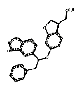 O=C(O)CC1COc2cc(OC(Cc3ccccc3)c3ccc4cc[nH]c4n3)ccc21